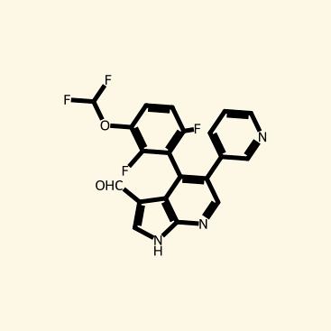 O=Cc1c[nH]c2ncc(-c3cccnc3)c(-c3c(F)ccc(OC(F)F)c3F)c12